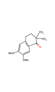 COc1cc2c(cc1OC)C(=O)C(C)(C)CC2